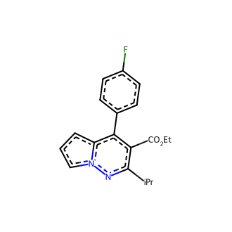 CCOC(=O)c1c(C(C)C)nn2cccc2c1-c1ccc(F)cc1